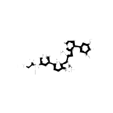 CC(C)CC(=O)Nc1cncc(-c2ccc3[nH]nc(-c4cc5c(-c6cc(O)cc(F)c6)ccnc5[nH]4)c3n2)c1